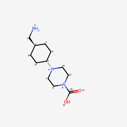 NC[C@H]1CC[C@H](N2CCN(C(=O)O)CC2)CC1